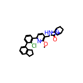 COc1nc(-c2cccc(-c3cccc4c3CCC4)c2Cl)ccc1CNC1CC2CCC1N2C(C)=O